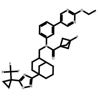 CCOc1ncc(-c2cccc(N(CC3CCC4(c5noc(C6(C(F)(F)F)CC6)n5)CCCC3C4)C(=O)C34CC(F)(C3)C4)c2)cn1